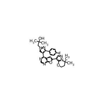 CC(C)(O)Cn1cc(-c2ncnc3oc(-c4cnn5c4OCCC5(C)C)cc23)c(-c2ccc(F)cc2)n1